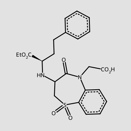 CCOC(=O)[C@@H](CCc1ccccc1)NC1CS(=O)(=O)c2ccccc2N(CC(=O)O)C1=O